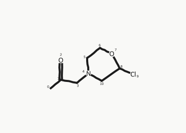 CC(=O)CN1CCOC(Cl)C1